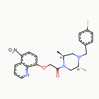 C[C@@H]1CN(C(=O)COc2ccc([N+](=O)[O-])c3cccnc23)[C@@H](C)CN1Cc1ccc(F)cc1